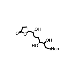 CCCCCCCCCCC(O)[C@H](O)CC[C@@H](O)[C@H]1CCC(=O)O1